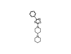 c1ccc(-c2nsc(N3CCC(N4CCCCC4)CC3)n2)cc1